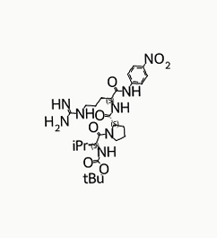 CC(C)[C@H](NC(=O)OC(C)(C)C)C(=O)N1CCC[C@H]1C(=O)N[C@@H](CCCNC(=N)N)C(=O)Nc1ccc([N+](=O)[O-])cc1